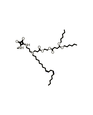 CCCCC/C=C\C/C=C\CCCCCCCCN(CCCNc1c(NC)c(=O)c1=O)CCC(=O)OCCOC(=O)CCC(OCCCCCC)OCCCCCC